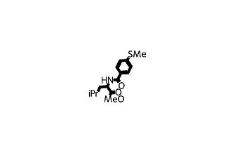 COC(=O)C(CC(C)C)NC(=O)c1ccc(SC)cc1